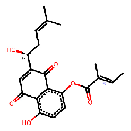 C/C=C(\C)C(=O)Oc1ccc(O)c2c1C(=O)C([C@@H](O)CC=C(C)C)=CC2=O